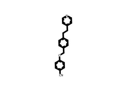 N#Cc1ccc(OCc2ccc(CCc3ccncc3)cc2)cc1